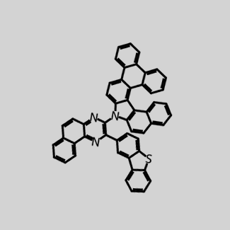 c1ccc2c(c1)ccc1nc(-n3c4ccc5ccccc5c4c4c5c6ccccc6c6ccccc6c5ccc43)c(-c3ccc4sc5ccccc5c4c3)nc12